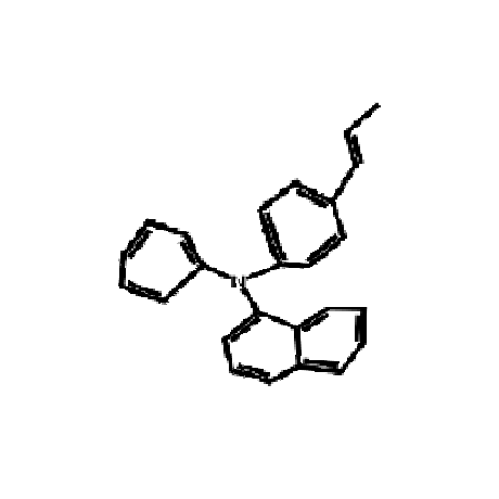 C/C=C/c1ccc(N(c2ccccc2)c2cccc3ccccc23)cc1